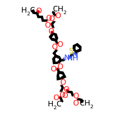 C=CC(=O)CCCC(=O)OC(COC(=O)C=C)COc1ccc(C(=O)OCCc2ccc(OC(=O)c3ccc(OCC(COC(=O)C=C)OC(=O)CCOC(=O)C=C)cc3)c(/C=N/Nc3nc4ccccc4s3)c2)cc1